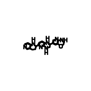 c1cc2c(cn1)CCC(c1ccc3c(n1)NCC(c1cnc4c(c1)OCCN4)N3)N2